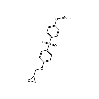 CCCCCOc1ccc(S(=O)(=O)c2ccc(OCC3CO3)cc2)cc1